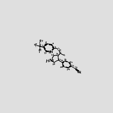 CC(Oc1ccc(C(F)(F)F)cn1)C1CNCC1c1ccc(C#N)cc1